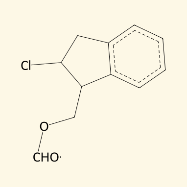 O=[C]OCC1c2ccccc2CC1Cl